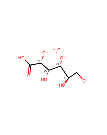 O.O=C(O)[C@H](O)[C@@H](O)[C@H](O)[C@H](O)CO